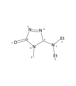 CCN(CC)C1N=NC(=O)N1C